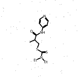 CCN(CC)C(=S)SCC(C)C(=O)Nc1ccncc1